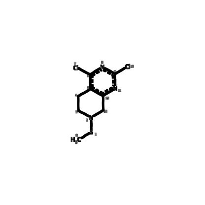 CSN1CCc2c(Cl)nc(Cl)nc2C1